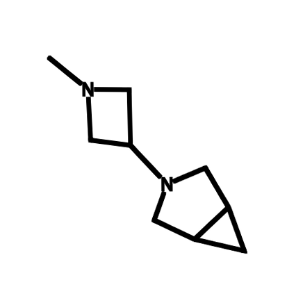 CN1CC(N2CC3CC3C2)C1